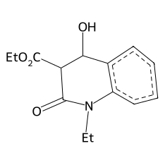 CCOC(=O)C1C(=O)N(CC)c2ccccc2C1O